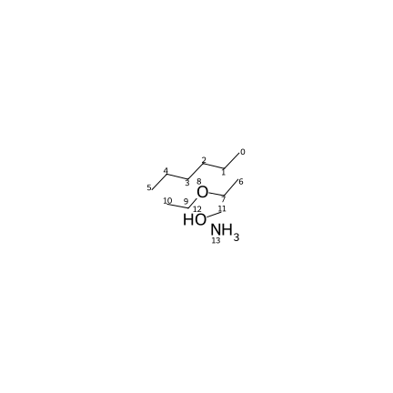 CCCCCC.CCOCC.CO.N